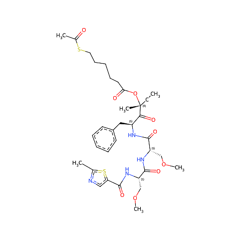 CC[C@@](C)(OC(=O)CCCCCSC(C)=O)C(=O)[C@H](Cc1ccccc1)NC(=O)[C@H](COC)NC(=O)[C@H](COC)NC(=O)c1cnc(C)s1